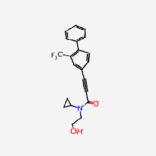 O=C(C#Cc1ccc(-c2ccccc2)c(C(F)(F)F)c1)N(CCO)C1CC1